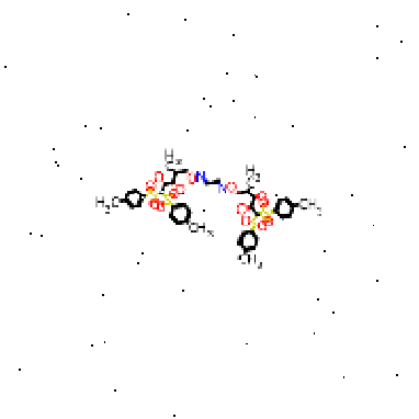 Cc1ccc(S(=O)(=O)C(C(=O)C(=O)C(C)CO/N=C/C=N/OCC(C)C(=O)C(=O)C(S(=O)(=O)c2ccc(C)cc2)S(=O)(=O)c2ccc(C)cc2)S(=O)(=O)c2ccc(C)cc2)cc1